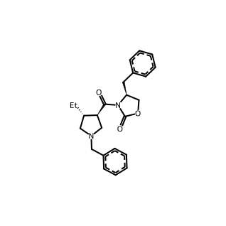 CC[C@H]1CN(Cc2ccccc2)C[C@@H]1C(=O)N1C(=O)OC[C@@H]1Cc1ccccc1